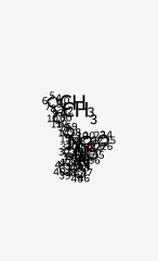 CC1(C)c2ccccc2-c2ccc(-c3ccc(N(c4ccc(-c5ccccc5)cc4)c4ccc5c(c4)C4(c6ccccc6-5)c5ccccc5-n5c4nc4ccccc45)cc3)cc21